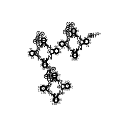 O=S(=O)([O-])c1ccc2c3nc4nc(nc5[nH]c(nc6nc(nc([nH]3)c2c1S(=O)(=O)[O-])-c1ccccc1-6)c1ccccc51)-c1ccccc1-4.O=S(=O)([O-])c1ccc2c3nc4nc(nc5[nH]c(nc6nc(nc([nH]3)c2c1S(=O)(=O)[O-])-c1ccccc1-6)c1ccccc51)-c1ccccc1-4.O=S(=O)([O-])c1ccc2c3nc4nc(nc5[nH]c(nc6nc(nc([nH]3)c2c1S(=O)(=O)[O-])-c1ccccc1-6)c1ccccc51)-c1ccccc1-4.[Rh+3].[Rh+3]